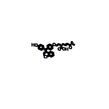 CC/C(=C(\c1ccc(O)cc1)c1ccc(OCCN(C/C=C/C(=O)N(C)C)C(=O)O)cc1)c1ccccc1Cl